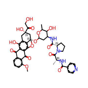 COc1cccc2c1C(=O)c1c3c4c(c(O)c1C2=O)C[C@@](O)(C(=O)CO)C[C@@]4(OC1CC(NC(=O)[C@@H]2CCCN2C(=O)[C@@H](C)NC(=O)c2ccncc2)C(O)C(C)O1)O3